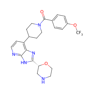 O=C(c1ccc(OC(F)(F)F)cc1)N1CCC(c2ccnc3[nH]c([C@H]4CNCCO4)nc23)CC1